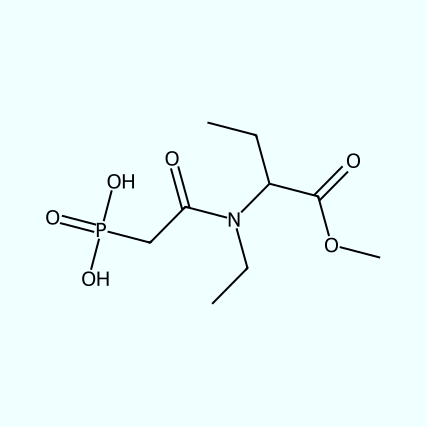 CCC(C(=O)OC)N(CC)C(=O)CP(=O)(O)O